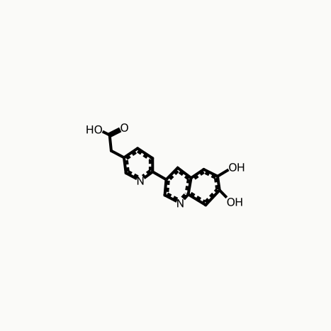 O=C(O)Cc1ccc(-c2cnc3cc(O)c(O)cc3c2)nc1